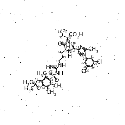 Cc1c(C)c(S(=O)(=O)NC(=N)NCCC[C@H](NC(=O)c2nc(C)n(-c3cc(Cl)cc(Cl)c3)n2)C(=O)N[C@H](CC(C)C)C(=O)O)c(C)c2c1OC(C)(C)C2